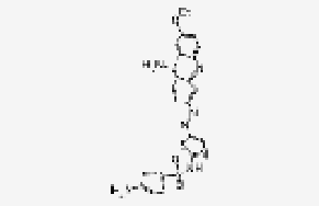 CCOc1ccc2nc3cc(/N=N/c4cnc(NS(=O)(=O)c5ccc(N)cc5)s4)ccc3c(N)c2c1